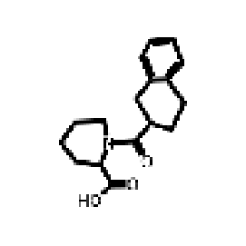 O=C(O)C1CCCCN1C(=O)C1CCc2ccccc2C1